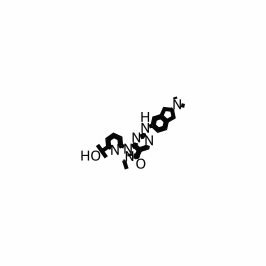 CCn1c(=O)c2cnc(Nc3ccc4c(c3)CC(N(C)C)C4)nc2n1-c1cccc(C(C)(C)O)n1